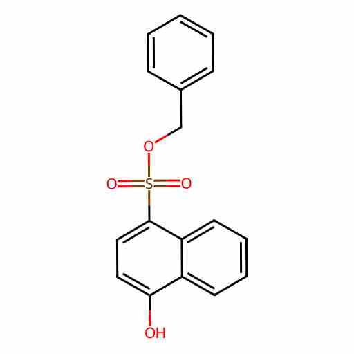 O=S(=O)(OCc1ccccc1)c1ccc(O)c2ccccc12